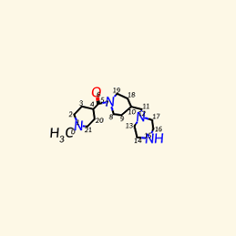 CN1CCC(C(=O)N2CCC(CN3CCNCC3)CC2)CC1